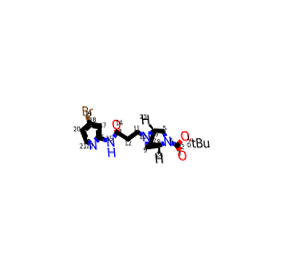 CC(C)(C)OC(=O)N1C[C@@H]2C[C@H]1CN2CCC(=O)Nc1cc(Br)ccn1